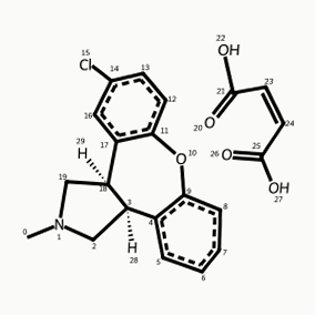 CN1C[C@@H]2c3ccccc3Oc3ccc(Cl)cc3[C@@H]2C1.O=C(O)/C=C\C(=O)O